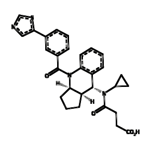 O=C(O)CCC(=O)N(C1CC1)[C@H]1c2ccccc2N(C(=O)c2cccc(-c3cncs3)c2)[C@@H]2CCC[C@@H]21